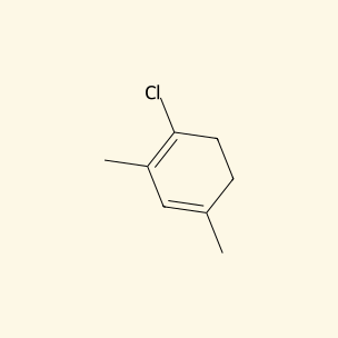 CC1=CC(C)=C(Cl)CC1